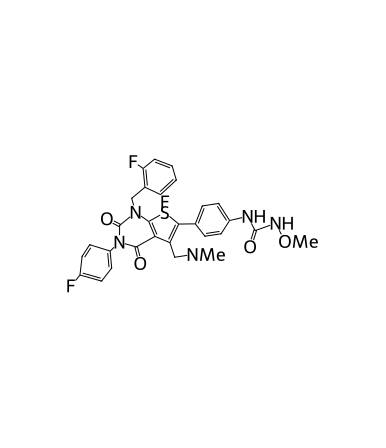 CNCc1c(-c2ccc(NC(=O)NOC)cc2)sc2c1c(=O)n(-c1ccc(F)cc1)c(=O)n2Cc1c(F)cccc1F